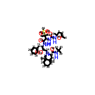 CC1=CCC(C)(NC(=O)N[C@H](C(=O)N[C@@H](Cc2ccccc2)[C@H](O)CN2C[C@H]3CCCC[C@H]3C[C@H]2C(=O)NC(C)(C)C)C(C)(C)S(C)(=O)=O)O1